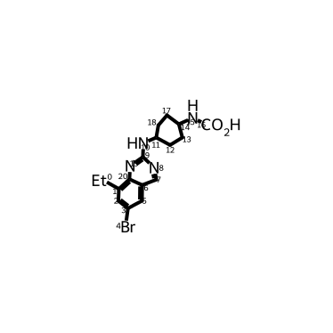 CCc1cc(Br)cc2cnc(NC3CCC(NC(=O)O)CC3)nc12